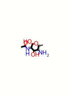 CC(=O)N[C@@H]1C(O)O[C@@H](C)[C@@H](N)[C@H]1O